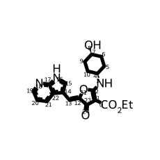 CCOC(=O)C1=C(N[C@H]2CC[C@@H](O)CC2)O/C(=C\c2c[nH]c3ncccc23)C1=O